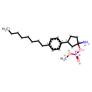 CCCCCCCCc1ccc(C2CCC(N)(O[PH](=O)OC)C2)cc1